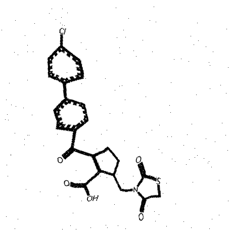 O=C(c1ccc(-c2ccc(Cl)cc2)cc1)C1CCC(CN2C(=O)CSC2=O)C1C(=O)O